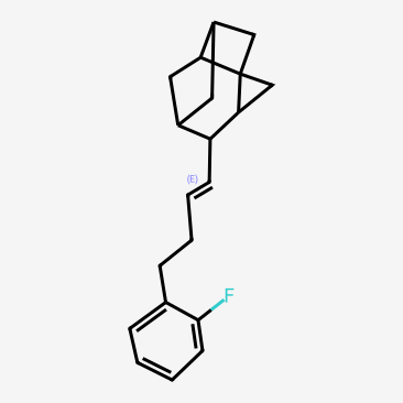 Fc1ccccc1CC/C=C/C1C2CC3CC4(CC14)C3C2